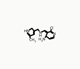 CC1=CNCC(CN/C=C2/C(Cl)=NC=CC2N)=C1